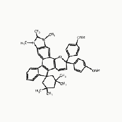 COc1ccc(C2(c3ccc(OC)cc3)C=Cc3c4c(c5cc6c(cc5c3O2)N(C)C(C(F)(F)F)N6C)-c2ccccc2C42CC(C)(C)CC(C)(C)C2)cc1